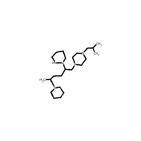 CC(C)CN1CCN(CC(CCC(C)N2CCCCC2)N2CCCCN2)CC1